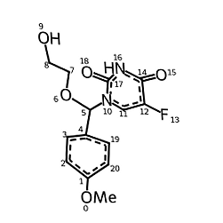 COc1ccc(C(OCCO)n2cc(F)c(=O)[nH]c2=O)cc1